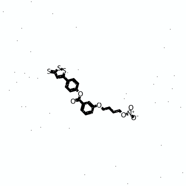 O=C(Oc1ccc(-c2cc(=S)ss2)cc1)c1cccc(OCCCCO[N+](=O)[O-])c1